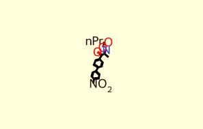 CCCC(=O)O/N=C(/C)C(=O)c1ccc(-c2ccc([N+](=O)[O-])cc2)cc1